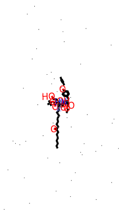 CC#CCOc1ccc(C[C@H](NC(=O)[C@@H](/C=C/CCCCCCC(=O)CCCCCCC)[C@@](O)(CCO)C(=O)OC(C)(C)C)C(=O)OCC)cc1